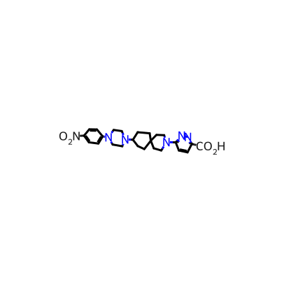 O=C(O)c1ccc(N2CCC3(CCC(N4CCN(c5ccc([N+](=O)[O-])cc5)CC4)CC3)CC2)nn1